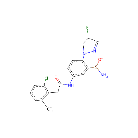 N[S+]([O-])c1cc(NC(=O)Cc2c(Cl)cccc2C(F)(F)F)ccc1N1CC(F)C=N1